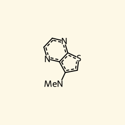 CNc1csc2nccnc12